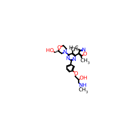 CNCC(O)COc1cccc(-c2nc(-c3c(C)noc3C)c(C)c(N3CCO[C@H](CO)C3)n2)c1